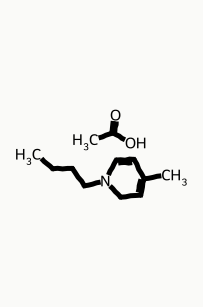 CC(=O)O.CCCCN1C=CC(C)=CC1